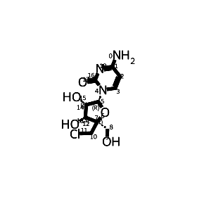 Nc1ccn([C@@H]2O[C@@](CO)(CCl)[C@@H](O)[C@@H]2O)c(=O)n1